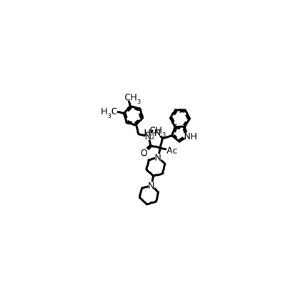 CC(=O)C(C(=O)N(C)Cc1ccc(C)c(C)c1)(C(N)c1c[nH]c2ccccc12)N1CCC(N2CCCCC2)CC1